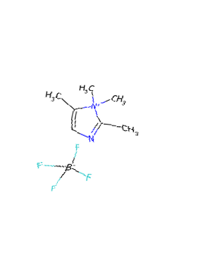 CC1=CN=C(C)[N+]1(C)C.F[B-](F)(F)F